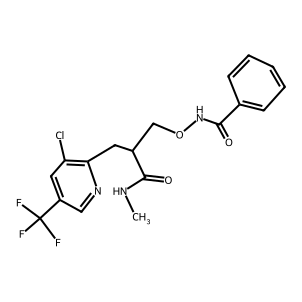 CNC(=O)C(CONC(=O)c1ccccc1)Cc1ncc(C(F)(F)F)cc1Cl